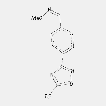 CO/N=C\c1ccc(-c2noc(C(F)(F)F)n2)cc1